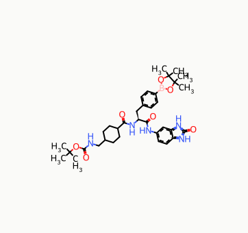 CC(C)(C)OC(=O)NCC1CCC(C(=O)N[C@@H](Cc2ccc(B3OC(C)(C)C(C)(C)O3)cc2)C(=O)Nc2ccc3[nH]c(=O)[nH]c3c2)CC1